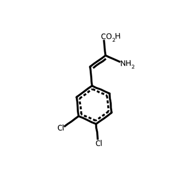 NC(=Cc1ccc(Cl)c(Cl)c1)C(=O)O